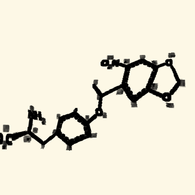 CC(Oc1ccc(C[C@H](N)C(=O)O)cc1)c1cc2c(cc1[N+](=O)[O-])OCO2